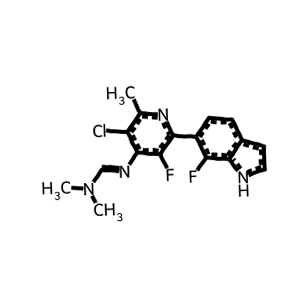 Cc1nc(-c2ccc3cc[nH]c3c2F)c(F)c(/N=C/N(C)C)c1Cl